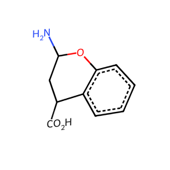 NC1CC(C(=O)O)c2ccccc2O1